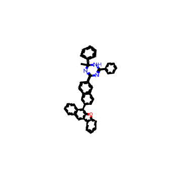 CC1(c2ccccc2)N=C(c2ccc3cc(-c4c5ccccc5cc5c4oc4ccccc45)ccc3c2)N=C(c2ccccc2)N1